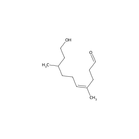 CC(=CCCC(C)CCO)CCC=O